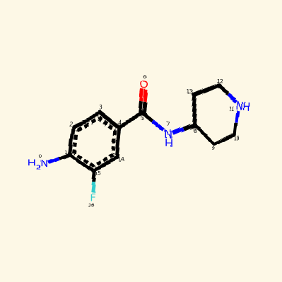 Nc1ccc(C(=O)NC2CCNCC2)cc1F